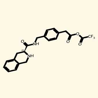 O=C(Cc1ccc(CNC(=O)[C@@H]2Cc3ccccc3CN2)cc1)OC(=O)C(F)(F)F